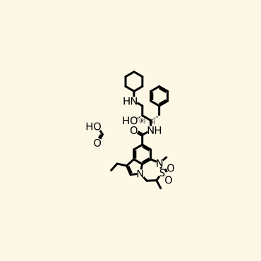 CCc1cn2c3c(cc(C(=O)N[C@@H](Cc4ccccc4)[C@H](O)CNC4CCCCC4)cc13)N(C)S(=O)(=O)C(C)C2.O=CO